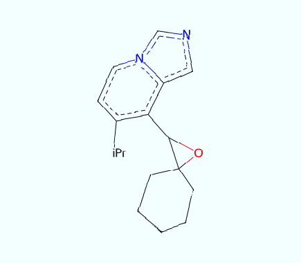 CC(C)c1ccn2cncc2c1C1OC12CCCCC2